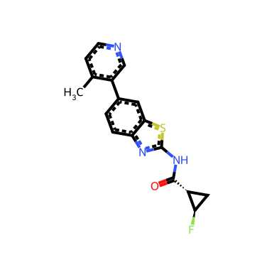 Cc1ccncc1-c1ccc2nc(NC(=O)[C@@H]3C[C@H]3F)sc2c1